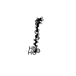 CC(C)(C)[Si](C)(C)OCCCOCCOCCCCNC(=O)O